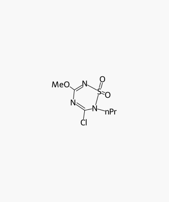 CCCN1C(Cl)=NC(OC)=NS1(=O)=O